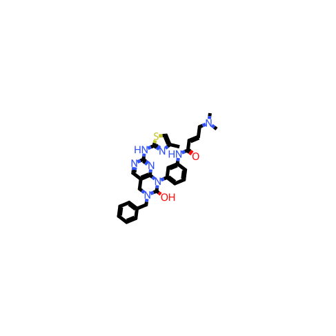 Cc1csc(Nc2ncc3c(n2)N(c2cccc(NC(=O)/C=C/CN(C)C)c2)C(O)N(Cc2ccccc2)C3)n1